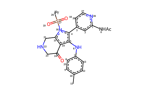 CC(=O)Nc1cc(-c2c(Nc3ccc(C)cc3)c3c(n2S(=O)(=O)C(C)C)CNCC3=O)ccn1